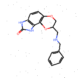 O=c1[nH]c2ccc3c(c2[nH]1)OC(CNCc1ccccc1)CO3